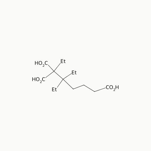 CCC(CC)(CCCC(=O)O)C(CC)(C(=O)O)C(=O)O